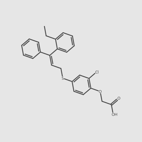 CCc1ccccc1/C(=C\CSc1ccc(OCC(=O)O)c(Cl)c1)c1ccccc1